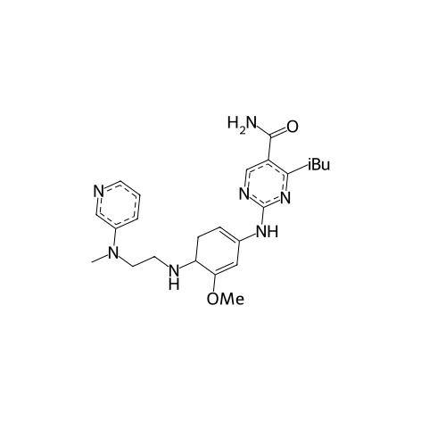 CCC(C)c1nc(NC2=CCC(NCCN(C)c3cccnc3)C(OC)=C2)ncc1C(N)=O